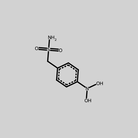 NS(=O)(=O)Cc1ccc(N(O)O)cc1